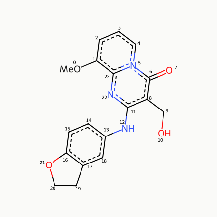 COc1cccn2c(=O)c(CO)c(Nc3ccc4c(c3)CCO4)nc12